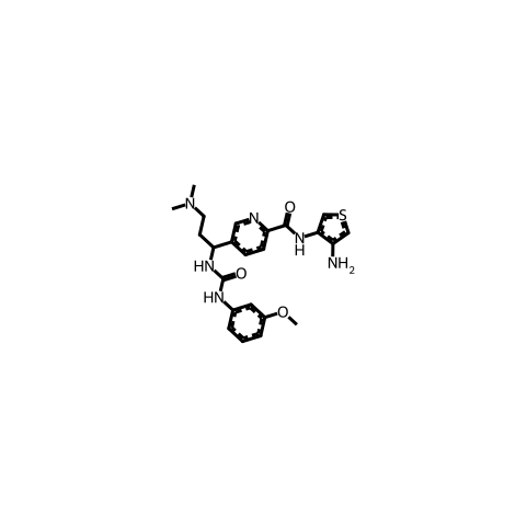 COc1cccc(NC(=O)NC(CCN(C)C)c2ccc(C(=O)Nc3cscc3N)nc2)c1